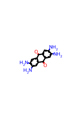 Nc1cc2c(cc1N)C(=O)c1cc(N)c(N)cc1C2=O